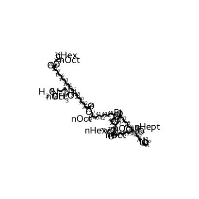 CCCCCCCCC(=O)N(CCCN(C)C)C(CCCCCCCCC(=O)OCC(CCCCCC)CCCCCCCC)CCCCCCCCC(=O)OCC(CCCCCCCC)CCCCCCC(CC)CCCC(CCCCCCCC)COC(=O)CCCCCC(CCCCCC(=O)OCC(CCCCCC)CCCCCCCC)N(CCCN1CCCC1)C(=O)CCCCCCC